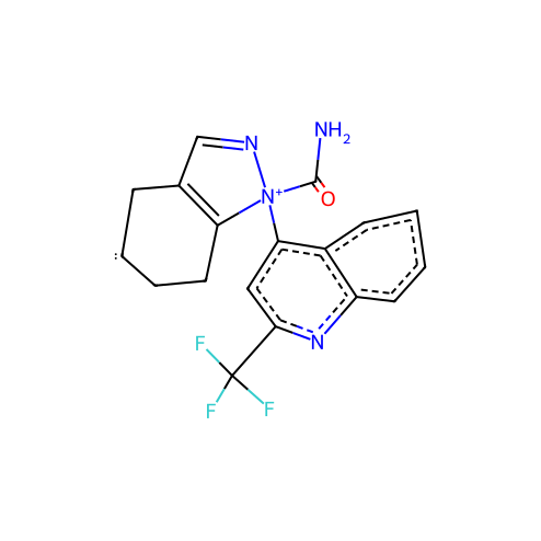 NC(=O)[N+]1(c2cc(C(F)(F)F)nc3ccccc23)N=CC2=C1CC[C]C2